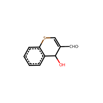 O=[C]C1=CSc2ccccc2C1O